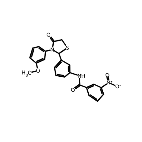 COc1cccc(N2C(=O)CSC2c2cccc(NC(=O)c3cccc([N+](=O)[O-])c3)c2)c1